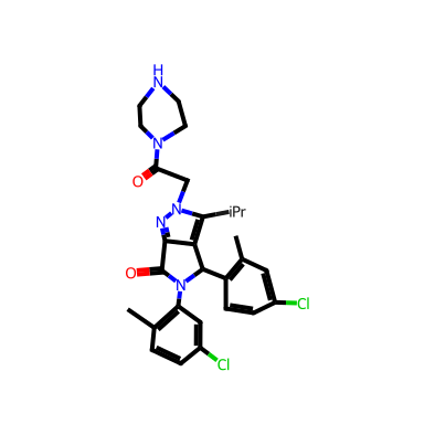 Cc1cc(Cl)ccc1C1c2c(nn(CC(=O)N3CCNCC3)c2C(C)C)C(=O)N1c1cc(Cl)ccc1C